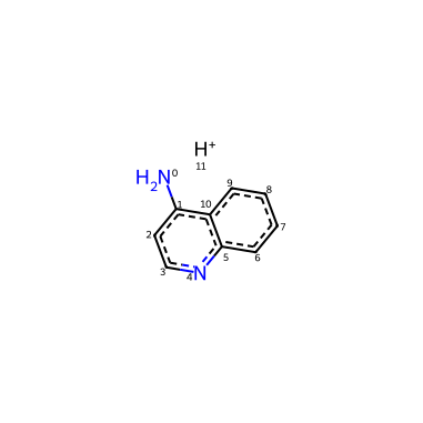 Nc1ccnc2ccccc12.[H+]